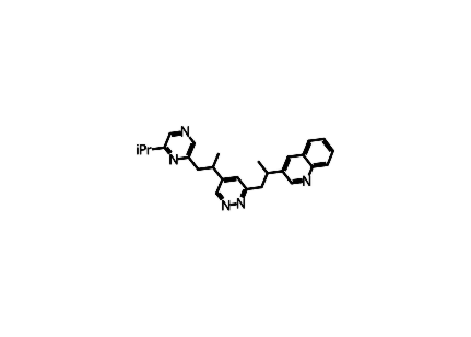 CC(C)c1cncc(CC(C)c2cnnc(CC(C)c3cnc4ccccc4c3)c2)n1